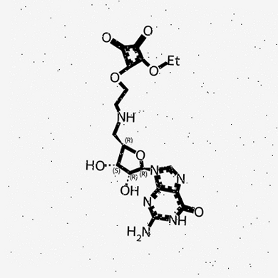 CCOc1c(OCCNC[C@H]2O[C@@H](n3cnc4c(=O)[nH]c(N)nc43)[C@H](O)[C@@H]2O)c(=O)c1=O